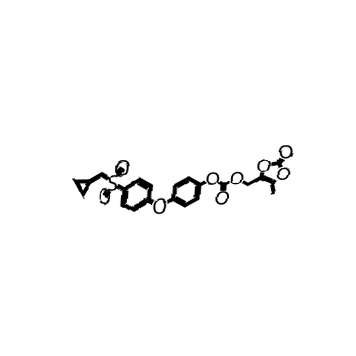 Cc1oc(=O)oc1COC(=O)Oc1ccc(Oc2ccc(S(=O)(=O)CC3CC3)cc2)cc1